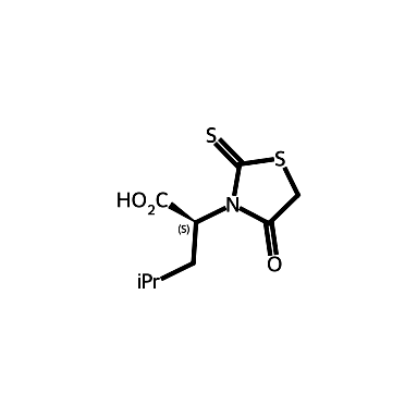 CC(C)C[C@@H](C(=O)O)N1C(=O)CSC1=S